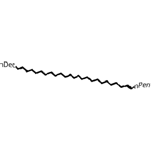 CCCCC/C=C/CCCCCCCCCCCCCCCCCCCCCCCCCCCCCCCCC